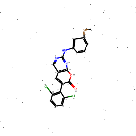 CSc1cccc(Nc2ncc3cc(-c4c(Cl)cccc4Cl)c(=O)oc3n2)c1